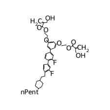 C=C(CO)C(=O)OCCOc1cc(OCCOC(=O)C(=C)CO)cc(-c2ccc(-c3ccc(CCC4CCC(CCCCC)CC4)c(F)c3)c(F)c2)c1